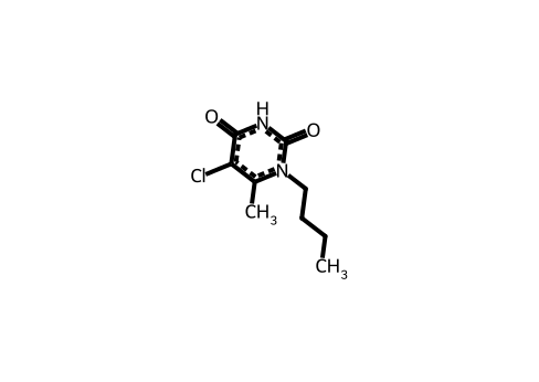 CCCCn1c(C)c(Cl)c(=O)[nH]c1=O